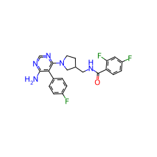 Nc1ncnc(N2CCC(CNC(=O)c3ccc(F)cc3F)C2)c1-c1ccc(F)cc1